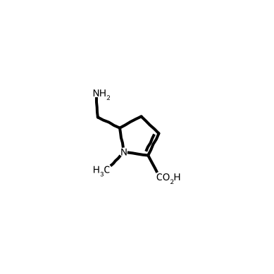 CN1C(C(=O)O)=CCC1CN